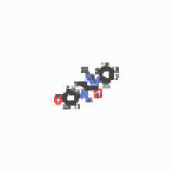 Cc1c(N(C)C2C=CC(=O)C=C2)c(=O)n(-c2ccccc2)n1C